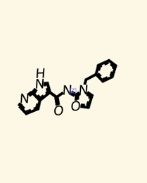 O=C(/N=c1\occn1Cc1ccccc1)c1c[nH]c2ncccc12